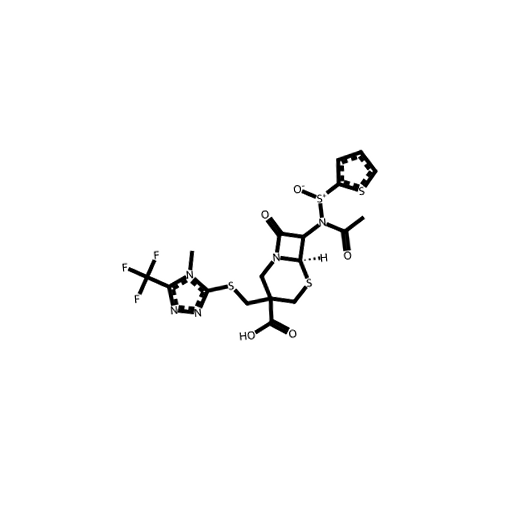 CC(=O)N(C1C(=O)N2CC(CSc3nnc(C(F)(F)F)n3C)(C(=O)O)CS[C@H]12)[S+]([O-])c1cccs1